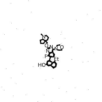 CCc1cccc2cc(O)cc(-c3ccc4c(N5CCOCC5)nc(OCC56CCCC5N(C)CCC6)nc4c3F)c12